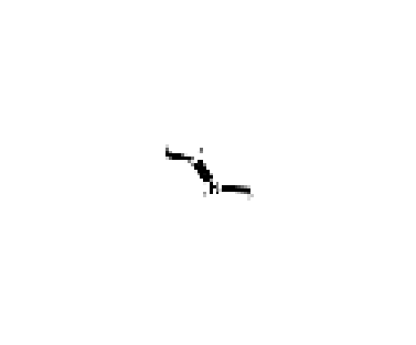 C/N=I/C